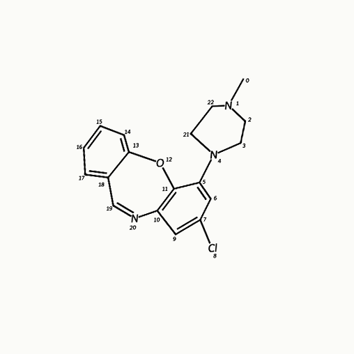 CN1CCN(c2cc(Cl)cc3c2Oc2ccccc2C=N3)CC1